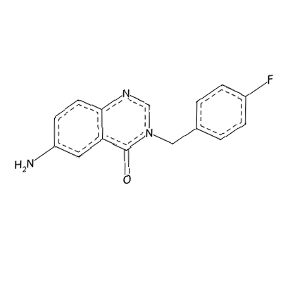 Nc1ccc2ncn(Cc3ccc(F)cc3)c(=O)c2c1